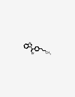 CCCCc1ccc(C(=CBr)n2cnc3ccccc32)cc1